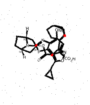 COc1cc(C(=O)O)cc2sc(N3[C@@H]4CC[C@H]3C[C@@H](OC(=O)c3c(C56CCC(CC5)CC6)noc3C3CC3)C4)nc12